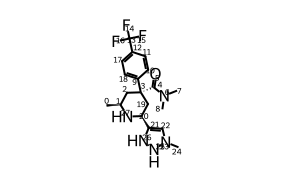 C[C@H]1C[C@@](C(=O)N(C)C)(c2ccc(C(F)(F)F)cc2)C[C@@H](C2=CN(C)NN2)N1